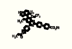 C=CC(=O)N1CC2(CCN(c3nc(C4CCN(C5CCN(C(=O)OCC)CC5)CC4)nc4c(OCC(F)(F)F)c(-c5c(C)ccc6[nH]ncc56)c(C=C)cc34)CC2)C1